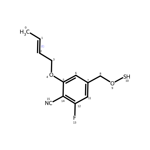 C/C=C/COc1cc(COS)cc(F)c1C#N